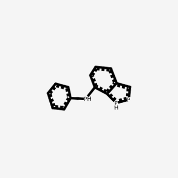 c1ccc(Pc2cccc3cp[pH]c23)cc1